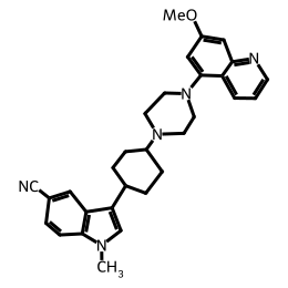 COc1cc(N2CCN(C3CCC(c4cn(C)c5ccc(C#N)cc45)CC3)CC2)c2cccnc2c1